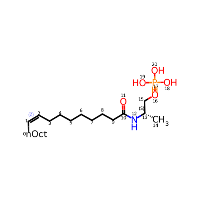 CCCCCCCC/C=C\CCCCCCCC(=O)N[C@@H](C)CO[PH](O)(O)O